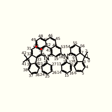 CC1(C)c2ccccc2-c2c(N(c3ccccc3)c3cc(N(c4ccccc4)c4cccc5c4-c4ccccc4C5(C)C)c4c(ccc5ccccc54)c3)cccc21